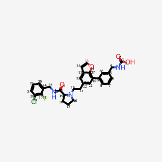 O=C(O)NCc1cccc(-c2cc(CCN3CCCC3C(=O)NCc3cccc(Cl)c3F)cc3ccoc23)c1